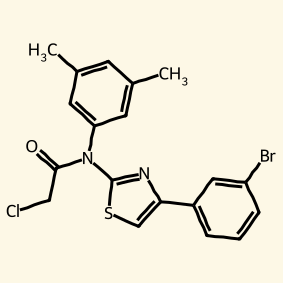 Cc1cc(C)cc(N(C(=O)CCl)c2nc(-c3cccc(Br)c3)cs2)c1